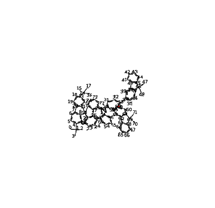 CC(C)(C)c1ccc2c(c1)C1(c3cc(C(C)(C)C)ccc3-2)c2ccccc2-c2c(N(c3ccc(-c4ccc5c(c4)-c4ccccc4C5(C)C)cc3)c3ccccc3-c3cccc4c3-c3ccccc3C4(C)C)cccc21